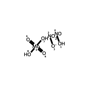 O=NO.O=[N+]([O-])[O-].[O]=[Mo](=[O])([OH])[OH]